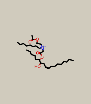 CCCCCCCC/C=C\CC(O)C(CCCCC)OC(=O)C[N+](C)(CCCCCCCC)CCOC(C)=O